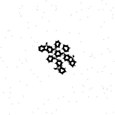 Cn1c2ccccc2c2ccc(N(c3ccccc3)c3cc(N(c4ccccc4)c4ccc5c6ccccc6n(C)c5c4)cc(N(c4ccccc4)c4ccc5c6ccccc6n(C)c5c4)c3)cc21